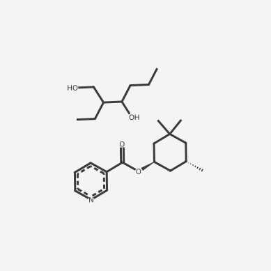 CCCC(O)C(CC)CO.C[C@@H]1C[C@@H](OC(=O)c2cccnc2)CC(C)(C)C1